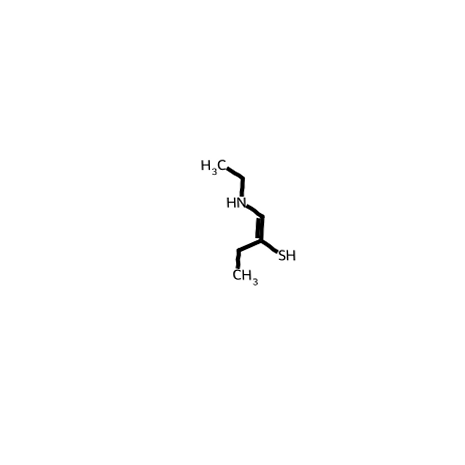 CCN/C=C(/S)CC